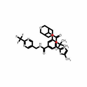 Cc1cnc(-c2cc(OC3C4COCC3CN(C(=O)OC(C)(C)C)C4)cc(C(=O)NCc3cnc(C(F)(F)F)nc3)c2)s1